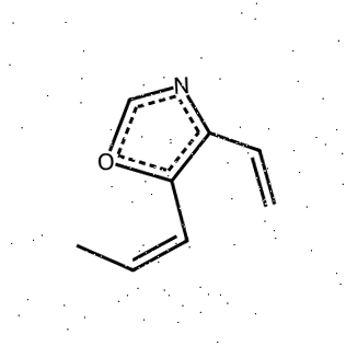 C=Cc1ncoc1/C=C\C